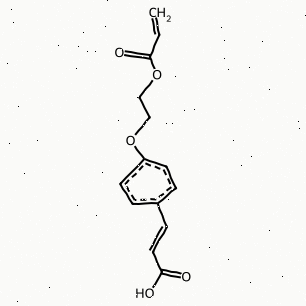 C=CC(=O)OCCOc1ccc(C=CC(=O)O)cc1